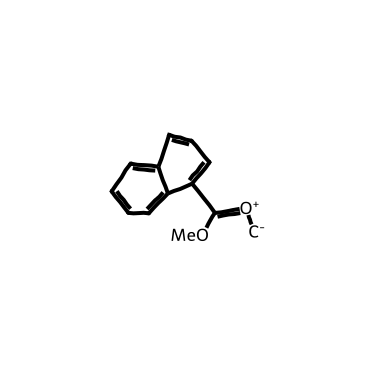 [CH2-]/[O+]=C(\OC)c1cccc2ccccc12